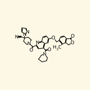 Cc1c(COc2ccc3nc(C(=O)N4CCC(C#N)(n5cccn5)CC4)cc(C(=O)N4CCCCC4)c3c2)ccc2c1COC2=O